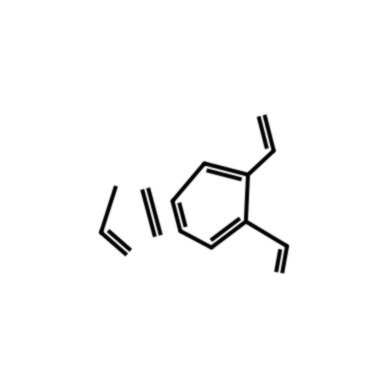 C=C.C=CC.C=Cc1ccccc1C=C